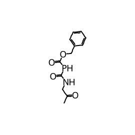 CC(=O)CNC(=O)PC(=O)OCc1ccccc1